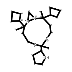 CC1(C2BCCC2)CCCC(C)(C2CCC2)N2CN2C(C)(C2CCC2)CCC1